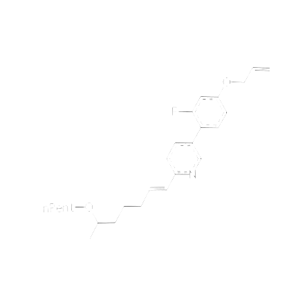 C=CCOc1ccc(-c2ccc(C=CCCCC(C)OCCCCC)nc2)c(F)c1